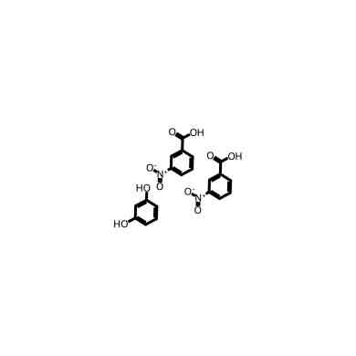 O=C(O)c1cccc([N+](=O)[O-])c1.O=C(O)c1cccc([N+](=O)[O-])c1.Oc1cccc(O)c1